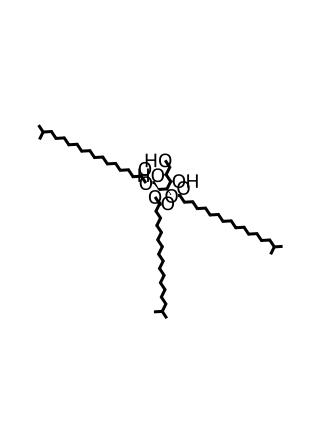 CC(C)CCCCCCCCCCCCCCC(=O)OC[C@H](OC(=O)CCCCCCCCCCCCCCC(C)C)[C@@H](OC(=O)CCCCCCCCCCCCCCC(C)C)[C@H](O)[C@H](O)CO